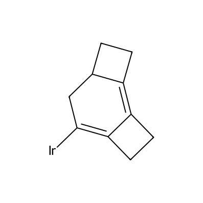 [Ir][C]1=C2CCC2=C2CCC2C1